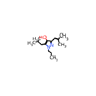 CCCn1nc(CC(C)C)c(O)c1CC(C)C